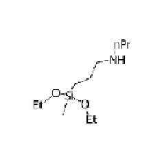 CCCNCCC[Si](C)(OCC)OCC